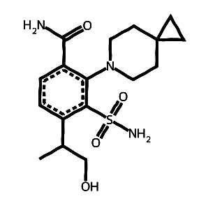 CC(CO)c1ccc(C(N)=O)c(N2CCC3(CC2)CC3)c1S(N)(=O)=O